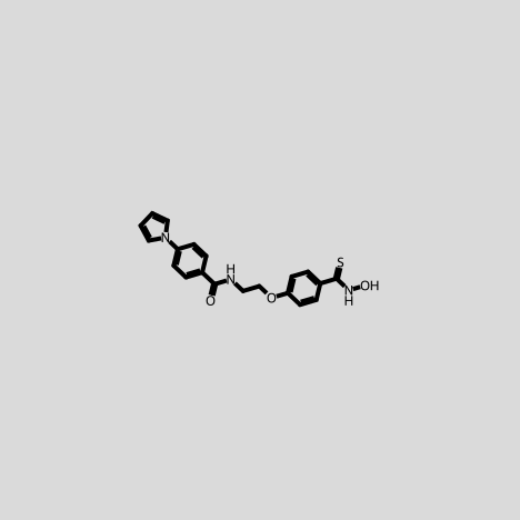 O=C(NCCOc1ccc(C(=S)NO)cc1)c1ccc(-n2cccc2)cc1